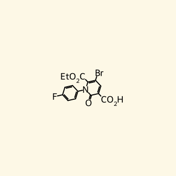 CCOC(=O)c1c(Br)cc(C(=O)O)c(=O)n1-c1ccc(F)cc1